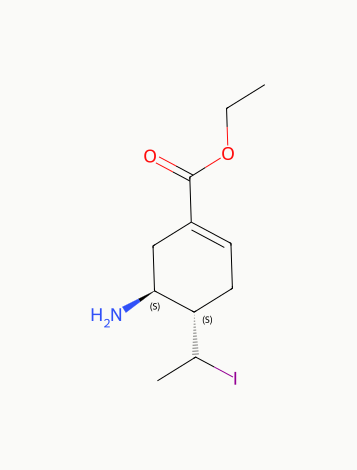 CCOC(=O)C1=CC[C@H](C(C)I)[C@@H](N)C1